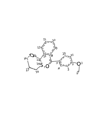 COc1ccc(C(=O)c2ccccc2C2OCCCS2)cc1